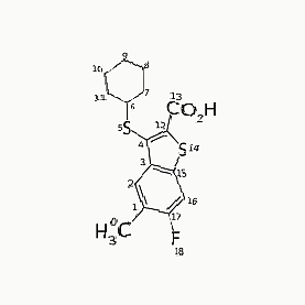 Cc1cc2c(SC3CCCCC3)c(C(=O)O)sc2cc1F